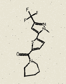 Cn1nc(C(F)(F)F)cc1-c1ccc(C(=O)N2CCCCC2)s1